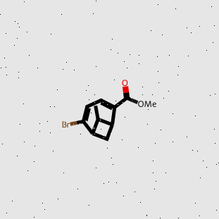 COC(=O)C1=CC=C(Br)C2CC1C2C